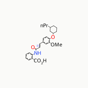 CCCC1CCCC(Oc2ccc(/C=C/C(=O)Nc3ccccc3C(=O)O)cc2OC)C1